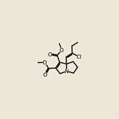 CCC(Cl)=CC12CCCN1CC(C(=O)OC)=C2C(=O)OC